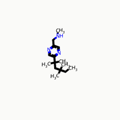 CCC(C)(C)CC(C)(C)c1cnc(CNC)cn1